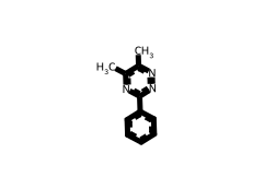 Cc1nnc(-c2ccccc2)nc1C